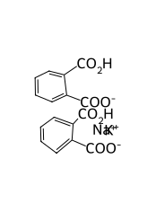 O=C([O-])c1ccccc1C(=O)O.O=C([O-])c1ccccc1C(=O)O.[K+].[Na+]